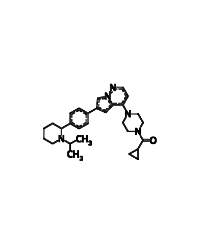 CC(C)N1CCCCC1c1ccc(-c2cc3c(N4CCN(C(=O)C5CC5)CC4)ccnn3c2)cc1